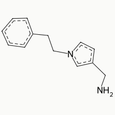 NCc1ccn(CCc2ccccc2)c1